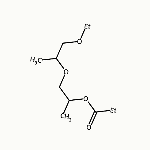 CCOCC(C)OCC(C)OC(=O)CC